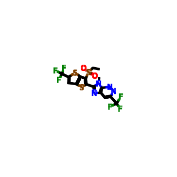 CCS(=O)(=O)c1c(-c2nc3cc(C(F)(F)F)nnc3n2C)sc2cc(C(F)(F)F)sc12